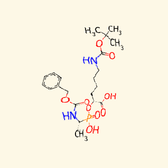 C[C@H](NC(=O)OCc1ccccc1)P(=O)(O)O[C@@H](CCCCNC(=O)OC(C)(C)C)C(=O)O